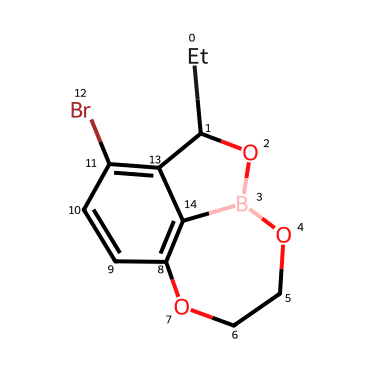 CCC1OB2OCCOc3ccc(Br)c1c32